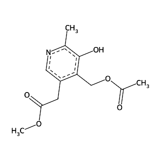 COC(=O)Cc1cnc(C)c(O)c1COC(C)=O